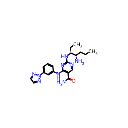 CCC[C@@H](N)[C@H](CC)Nc1ncc(C(N)=O)c(Nc2cccc(-n3nccn3)c2)n1